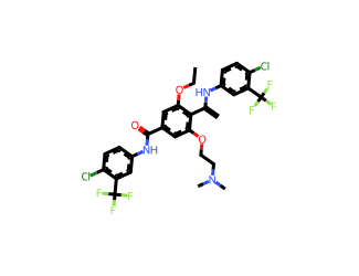 C=C(Nc1ccc(Cl)c(C(F)(F)F)c1)c1c(OCC)cc(C(=O)Nc2ccc(Cl)c(C(F)(F)F)c2)cc1OCCN(C)C